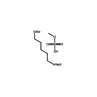 CCCCCCCCCCCCNC.COS(=O)(=O)O